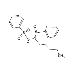 CCCCCN(NS(=O)(=O)c1ccccc1)C(=O)c1ccccc1